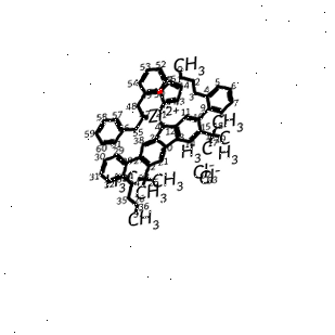 CCCCc1ccccc1-c1cc2c(cc1C(C)(C)C)-c1cc(C(C)(C)C)c(-c3ccccc3CCCC)cc1[CH]2[Zr+2]([C]1=CC=CC1)=[C](Cc1ccccc1)Cc1ccccc1.[Cl-].[Cl-]